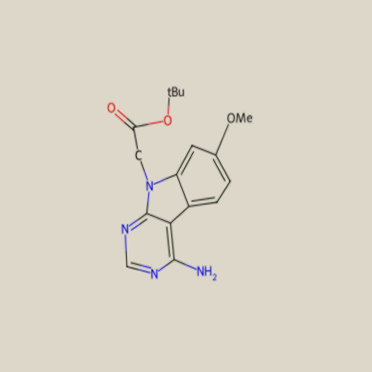 COc1ccc2c3c(N)ncnc3n(CC(=O)OC(C)(C)C)c2c1